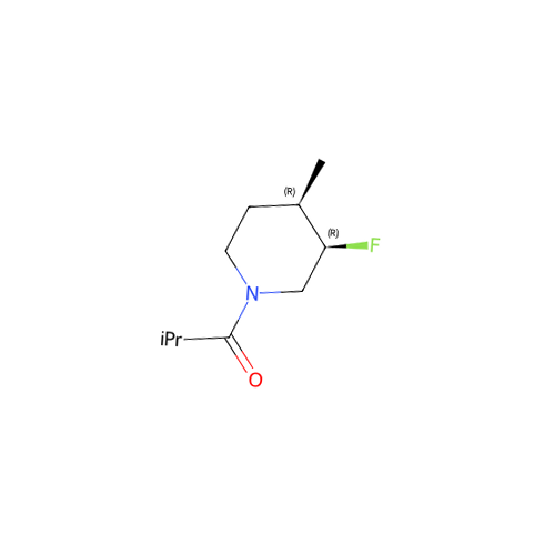 CC(C)C(=O)N1CC[C@@H](C)[C@@H](F)C1